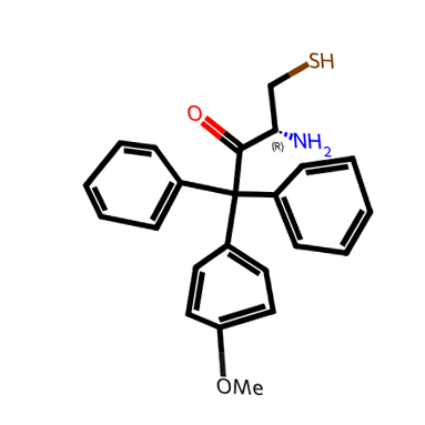 COc1ccc(C(C(=O)[C@@H](N)CS)(c2ccccc2)c2ccccc2)cc1